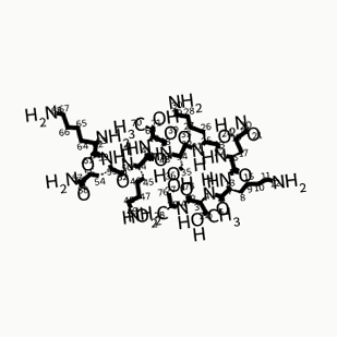 C[C@@H](O)[C@H](NC(=O)[C@H](CCCCN)NC(=O)[C@H](CCC(N)=O)NC(=O)[C@H](CCCCN)NC(=O)[C@H](CO)NC(=O)[C@@H](NC(=O)[C@H](CCCCN)NC(=O)[C@H](CCC(N)=O)NC(=O)[C@@H](N)CCCCN)[C@@H](C)O)C(=O)N[C@@H](CO)C(=O)O